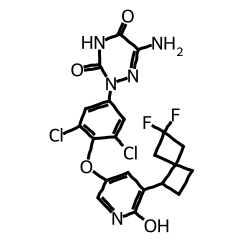 Nc1nn(-c2cc(Cl)c(Oc3cnc(O)c(C4CCC45CC(F)(F)C5)c3)c(Cl)c2)c(=O)[nH]c1=O